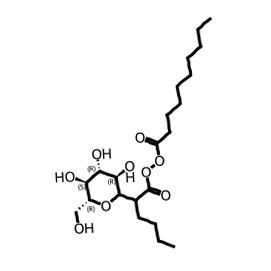 CCCCCCCCCC(=O)OOC(=O)C(CCCC)C1O[C@H](CO)[C@@H](O)[C@H](O)[C@H]1O